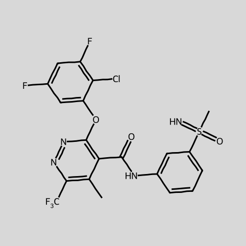 Cc1c(C(F)(F)F)nnc(Oc2cc(F)cc(F)c2Cl)c1C(=O)Nc1cccc(S(C)(=N)=O)c1